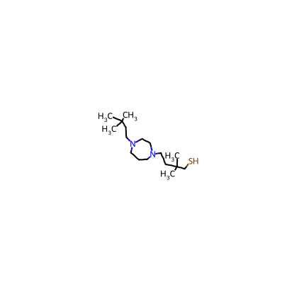 CC(C)(C)CCN1CCCN(CCC(C)(C)CS)CC1